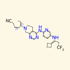 C/C=C(\C=C/CC#N)N1CCc2c(ncnc2Nc2ccc(NC(CC(F)(F)F)=C3CCC3)cn2)C1